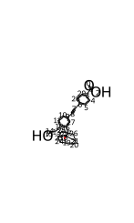 O=C(O)c1ccc(C#Cc2ccc(CCO)c(C34CC5CC(CC(C5)C3)C4)c2)cc1